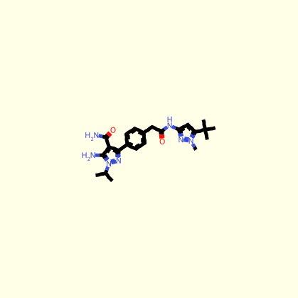 CC(C)n1nc(-c2ccc(CC(=O)Nc3cc(C(C)(C)C)n(C)n3)cc2)c(C(N)=O)c1N